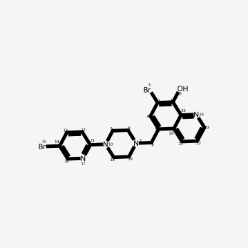 Oc1c(Br)cc(CN2CCN(c3ccc(Br)cn3)CC2)c2cccnc12